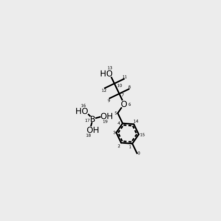 Cc1ccc(COC(C)(C)C(C)(C)O)cc1.OB(O)O